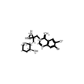 C=C1c2cc(Cl)c(Br)cc2N=CN1CC1(C[C@H]2NCCC[C@@H]2O)NN1